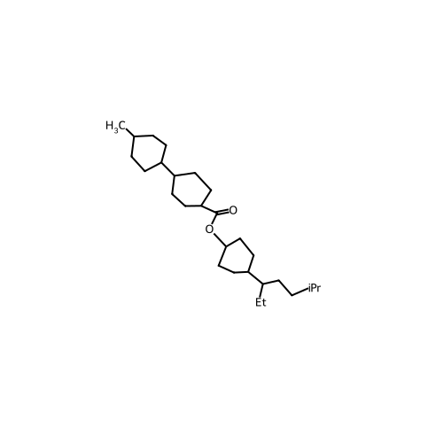 CCC(CCC(C)C)C1CCC(OC(=O)C2CCC(C3CCC(C)CC3)CC2)CC1